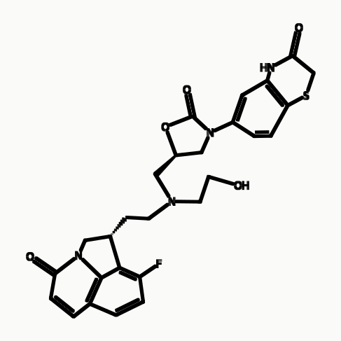 O=C1CSc2ccc(N3C[C@@H](CN(CCO)CC[C@H]4Cn5c(=O)ccc6ccc(F)c4c65)OC3=O)cc2N1